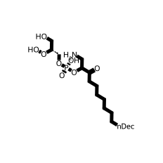 CCCCCCCCCCCCCCCCCC(=O)C(CN)OP(=O)(O)OC[C@@H](CO)OO